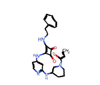 C=CC(=O)N1CCCC(Nc2cc(Nc3c(NCCc4ccccc4)c(=O)c3=O)ccn2)C1